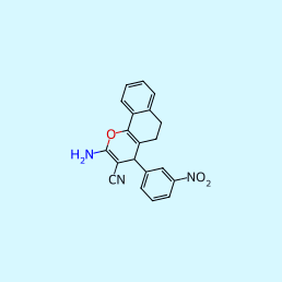 N#CC1=C(N)OC2=C(CCc3ccccc32)C1c1cccc([N+](=O)[O-])c1